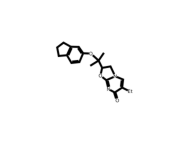 CCc1cn2c(nc1=O)OC(C(C)(C)Oc1ccc3c(c1)CCC3)C2